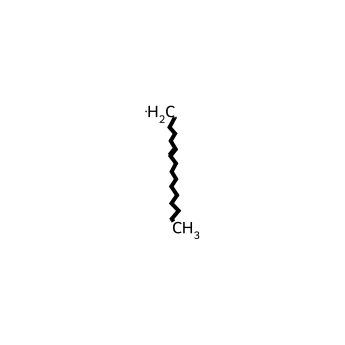 [CH2]CCCCC=CCCCCCCCCC